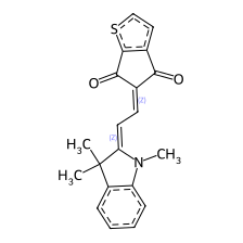 CN1/C(=C\C=C2\C(=O)c3ccsc3C2=O)C(C)(C)c2ccccc21